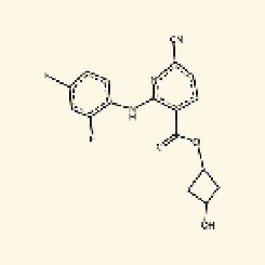 N#Cc1ccc(C(=O)OC2CC(O)C2)c(Nc2ccc(I)cc2F)n1